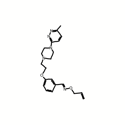 C=CCON=Cc1cccc(OCCN2CCN(c3ccc(C)nn3)CC2)c1